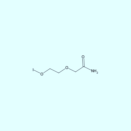 NC(=O)COCCOI